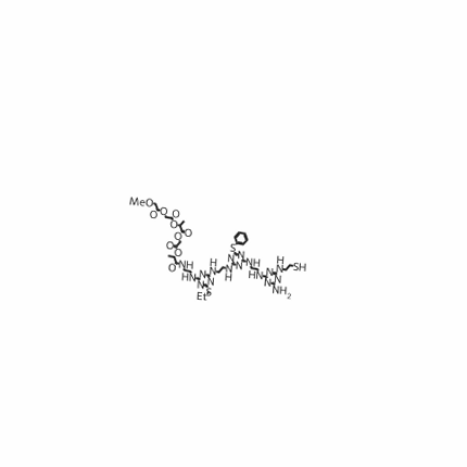 CCSc1nc(NCCNC(=O)C(C)OC(=O)COC(=O)C(C)OC(=O)COC(=O)COC)nc(NCCNc2nc(NCCNc3nc(N)nc(NCCS)n3)nc(Sc3ccccc3)n2)n1